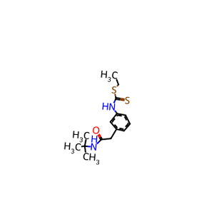 CCSC(=S)Nc1cccc(CC(=O)NC(C)(C)C)c1